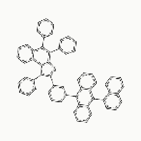 c1ccc(-c2c(-c3ccccc3)c3sc(-c4cccc(-c5c6ccccc6c(-c6cccc7ccccc67)c6ccccc56)c4)c(-c4ccccc4)c3c3ccccc23)cc1